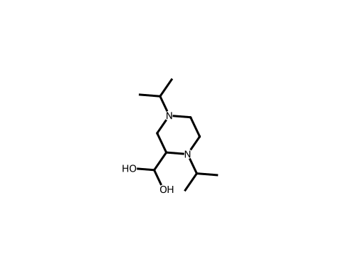 CC(C)N1CCN(C(C)C)C(C(O)O)C1